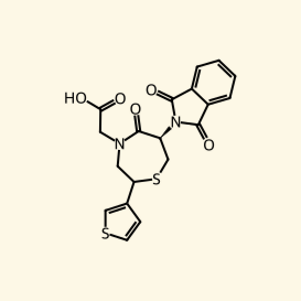 O=C(O)CN1CC(c2ccsc2)SC[C@H](N2C(=O)c3ccccc3C2=O)C1=O